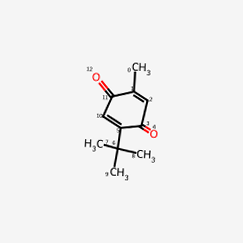 CC1=CC(=O)C(C(C)(C)C)=CC1=O